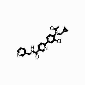 CC(=O)N(CC1CC1)c1ccc(-c2ccc(C(=O)NCc3cccnc3)cn2)cc1Cl